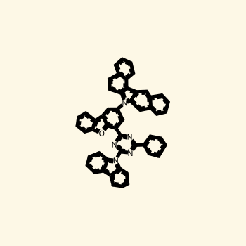 c1ccc(-c2nc(-c3cc(-n4c5cc6ccccc6cc5c5c6ccccc6ccc54)cc4c3oc3ccccc34)nc(-n3c4ccccc4c4ccccc43)n2)cc1